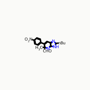 CCCCC1N=C2C=C(c3ccc([N+](=O)[O-])cc3)C(C)(C=O)N=C2N1